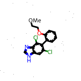 COCCOc1ccccc1-c1c(Cl)cc2[nH]cnc2c1Cl